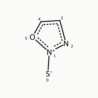 [S-][n+]1ncco1